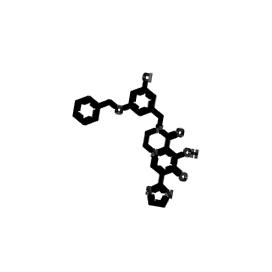 O=C1c2c(O)c(=O)c(-c3nccs3)cn2CCN1Cc1cc(Cl)cc(OCc2ccccc2)c1